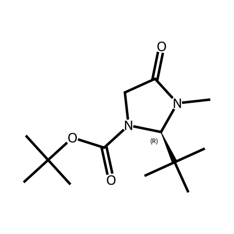 CN1C(=O)CN(C(=O)OC(C)(C)C)[C@@H]1C(C)(C)C